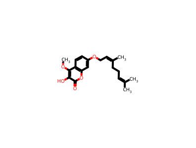 COc1c(O)c(=O)oc2cc(OCC=C(C)CCC=C(C)C)ccc12